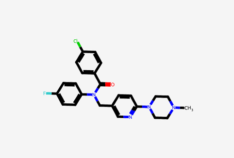 CN1CCN(c2ccc(CN(C(=O)c3ccc(Cl)cc3)c3ccc(F)cc3)cn2)CC1